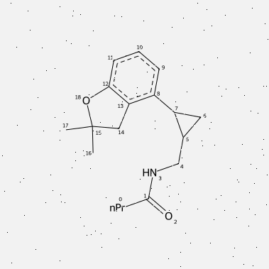 CCCC(=O)NCC1CC1c1cccc2c1CC(C)(C)O2